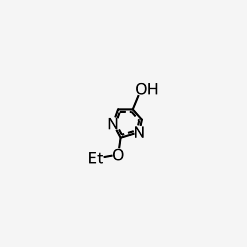 CCOc1ncc(O)cn1